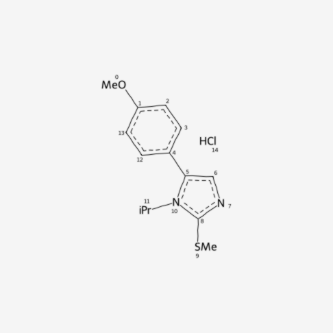 COc1ccc(-c2cnc(SC)n2C(C)C)cc1.Cl